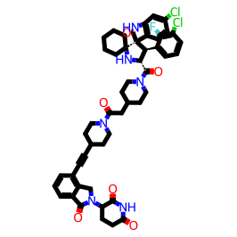 O=C1CCC(N2Cc3c(C#CC4CCN(C(=O)CC5CCN(C(=O)[C@@H]6NC7(CCCCC7)[C@@]7(C(=O)Nc8cc(Cl)ccc87)[C@H]6c6cccc(Cl)c6F)CC5)CC4)cccc3C2=O)C(=O)N1